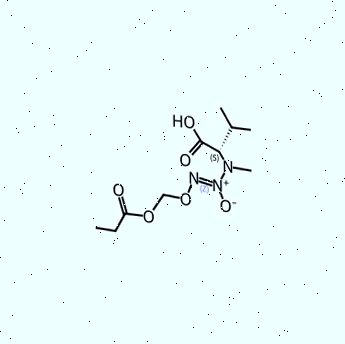 CCC(=O)OCO/N=[N+](\[O-])N(C)[C@H](C(=O)O)C(C)C